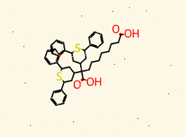 O=C(O)CCCCCCCC(C(=O)O)(C1CC(c2ccccc2)SC(c2ccccc2)C1)C1CC(c2ccccc2)SC(c2ccccc2)C1